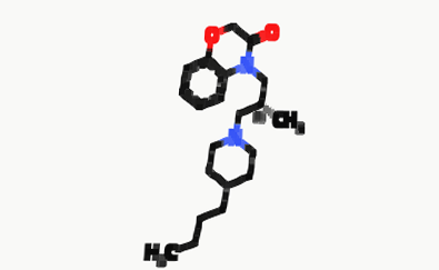 CCCCC1CCN(C[C@@H](C)CN2C(=O)COc3ccccc32)CC1